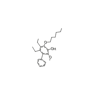 CCCCCCOc1c(O)c(OC)c(-c2ccccc2)c(CC)c1CC